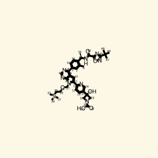 Cc1cc(-c2ncnc3c2cc(-c2ccc(C4(O)CN(C(=O)O)C4)cn2)n3COCC[Si](C)(C)C)ccc1[C@@H](C)NC(=O)c1nc(C(C)(C)C)no1